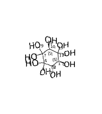 O[C@H]1[C@H](O)C(O)(O)C(O)(O)[C@@H](O)C1(O)O